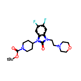 CC(C)(C)OC(=O)N1CCC(n2c(=O)n(CCN3CCOCC3)c3cc(F)c(F)cc32)CC1